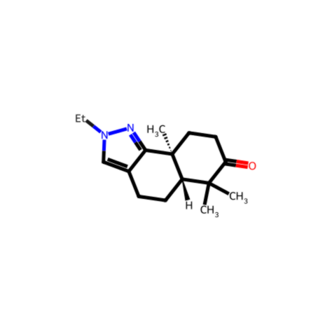 CCn1cc2c(n1)[C@@]1(C)CCC(=O)C(C)(C)[C@@H]1CC2